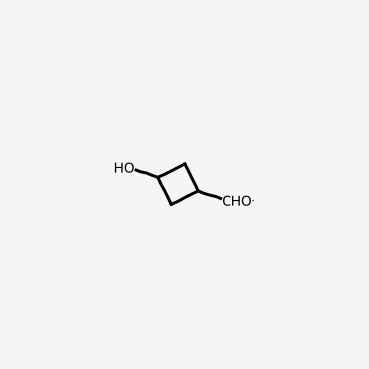 O=[C]C1CC(O)C1